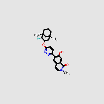 Cn1ccc2cc(-c3ccc(O[C@@H]4C[C@@]5(C)CCC[C@](C)(C5)[C@@H]4F)nn3)c(O)cc2c1=O